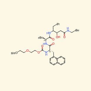 CCCC[C@H](NC(=O)[C@H](Cc1cccc2ccccc12)NC(=O)OCCOCCOC)C(=O)NC(CC(C)C)C(O)CC(=O)NCC(C)CC